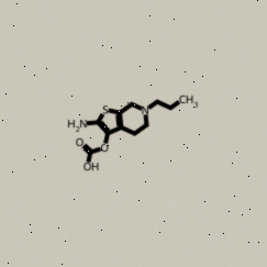 CCCN1CCc2c(sc(N)c2OC(=O)O)C1